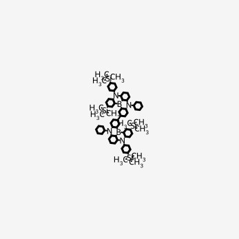 C[Si](C)(C)c1ccc(N2c3ccc([Si](C)(C)C)cc3B3c4cc(-c5ccc6c(c5)B5c7cc([Si](C)(C)C)ccc7N(c7ccc([Si](C)(C)C)cc7)c7cccc(c75)N6c5ccccc5)ccc4N(c4ccccc4)c4cccc2c43)cc1